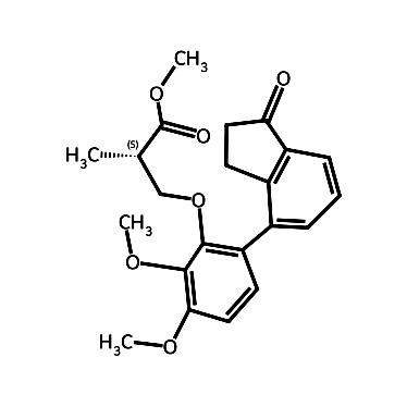 COC(=O)[C@@H](C)COc1c(-c2cccc3c2CCC3=O)ccc(OC)c1OC